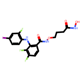 O=C(CCCONC(=O)c1ccc(F)c(F)c1Nc1ccc(I)cc1F)NO